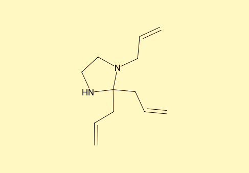 C=CCN1CCNC1(CC=C)CC=C